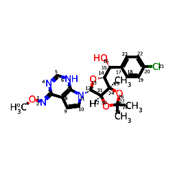 CON=c1nc[nH]c2c1ccn2[C@@H]1O[C@H]([C@H](O)c2ccc(Cl)cc2)[C@@]2(C)OC(C)(C)O[C@@H]12